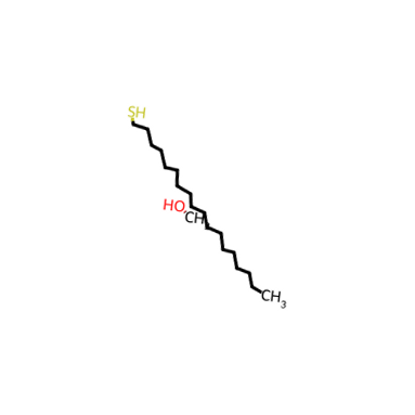 CCCCCCCCCCCCCCCCCCS.CO